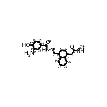 CCNC(=O)Cc1ccc(/C=N/NC(=O)c2ccc(O)c(N)c2)c2ccccc12